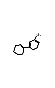 CC(C)(C)C1=CC[CH]C(C2=CCCCC2)=C1